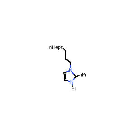 CCCCCCCCCCN1C=CN(CC)C1CCC